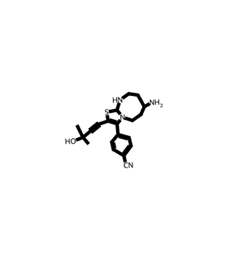 CC(C)(O)C#CC1=C(c2ccc(C#N)cc2)N2CCC(N)CCNC2S1